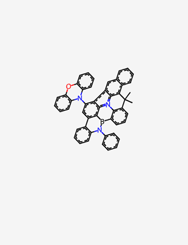 CC1(C)c2cccc3c2-n2c4c1c1ccccc1cc4c1c(N4c5ccccc5Oc5ccccc54)cc4c(c12)B3N(c1ccccc1)c1ccccc1-4